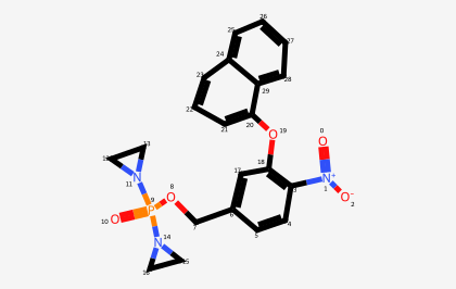 O=[N+]([O-])c1ccc(COP(=O)(N2CC2)N2CC2)cc1Oc1cccc2ccccc12